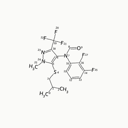 CC(C)CSc1c(N(C=O)c2cccc(F)c2F)c(C(F)(F)F)nn1C